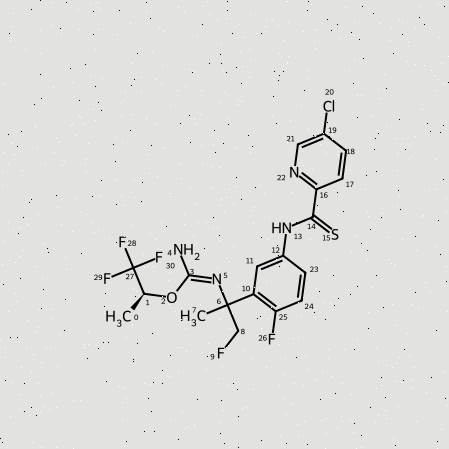 C[C@H](O/C(N)=N\C(C)(CF)c1cc(NC(=S)c2ccc(Cl)cn2)ccc1F)C(F)(F)F